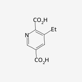 CCc1cc(C(=O)O)cnc1C(=O)O